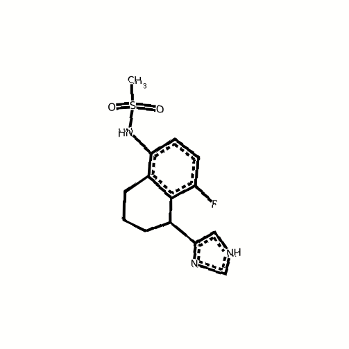 CS(=O)(=O)Nc1ccc(F)c2c1CCCC2c1c[nH]cn1